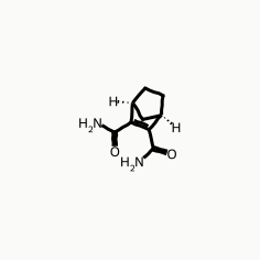 NC(=O)C1=C(C(N)=O)[C@H]2CC[C@@H]1C2